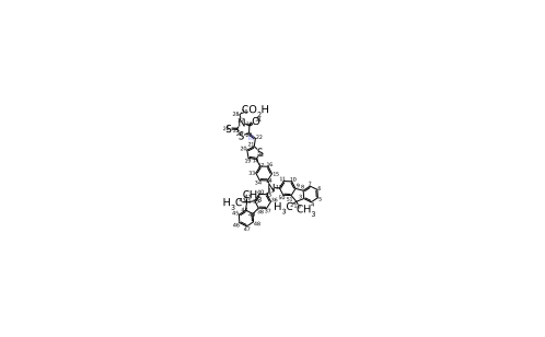 CC1(C)c2ccccc2-c2ccc(N(c3ccc(-c4ccc(/C=C5\SC(=S)N(CC(=O)O)C5=O)s4)cc3)c3ccc4c(c3)C(C)(C)c3ccccc3-4)cc21